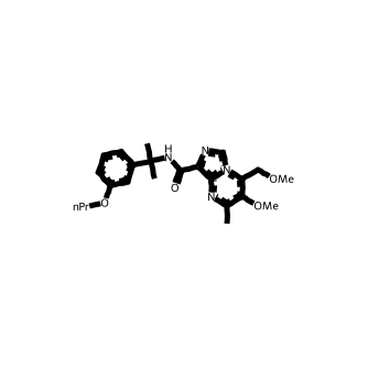 CCCOc1cccc(C(C)(C)NC(=O)c2ncn3c(COC)c(OC)c(C)nc23)c1